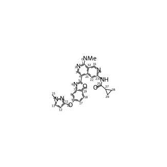 CNc1ncc(-c2nc3cc(Oc4ccn(C)n4)ccc3o2)c2cc(NC(=O)C3CC3)ncc12